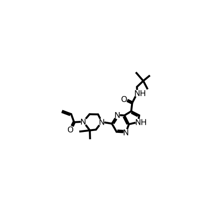 C=CC(=O)N1CCN(c2cnc3[nH]cc(C(=O)NCC(C)(C)C)c3n2)CC1(C)C